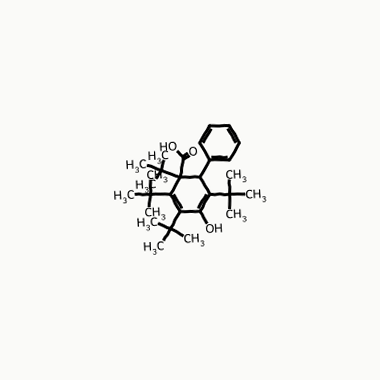 CC(C)(C)C1=C(C(C)(C)C)C(C(=O)O)(C(C)(C)C)C(c2ccccc2)C(C(C)(C)C)=C1O